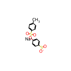 Cc1ccc(S(=O)(=O)Oc2ccc(S(=O)[O-])cc2)cc1.[Na+]